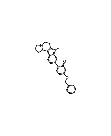 Cn1c2c(c3ccc(-n4ccc(OCc5ccccc5)cc4=O)cc31)C1CCCN1CC2